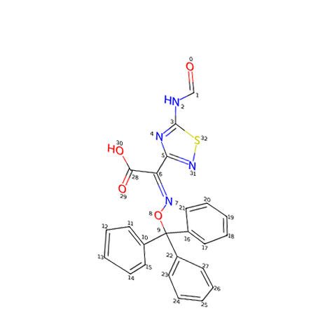 O=CNc1nc(/C(=N/OC(c2ccccc2)(c2ccccc2)c2ccccc2)C(=O)O)ns1